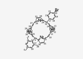 Cc1cc(C)c(-c2c3nc(cc4ccc([nH]4)c(-c4ccc(Br)cc4)c4nc(cc5ccc2[nH]5)C=C4)C=C3)c(C)c1